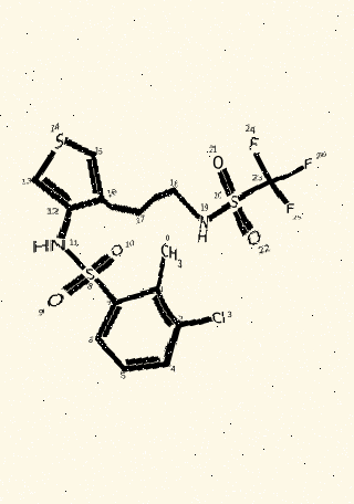 Cc1c(Cl)cccc1S(=O)(=O)Nc1cscc1CCNS(=O)(=O)C(F)(F)F